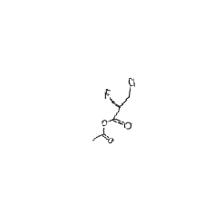 CC(=O)OC(=O)C(F)CCl